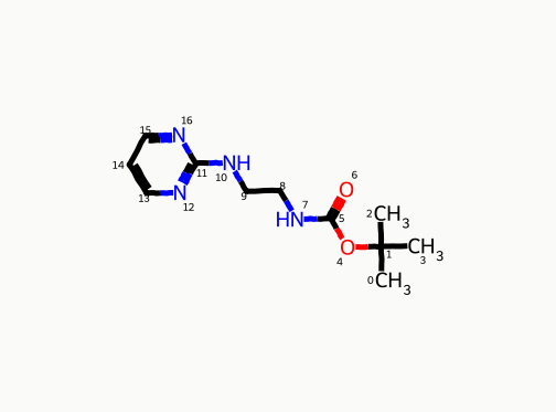 CC(C)(C)OC(=O)NCCNc1ncccn1